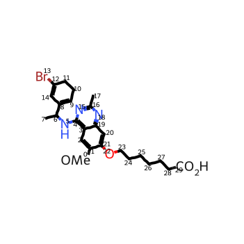 COc1cc2c(NC(C)C3=CCCC(Br)=C3)nc(C)nc2cc1OCCCCCCC(=O)O